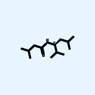 CC(C)CC(=O)N[C@@H](CC(C)C)C(C)C